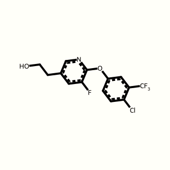 OCCc1cnc(Oc2ccc(Cl)c(C(F)(F)F)c2)c(F)c1